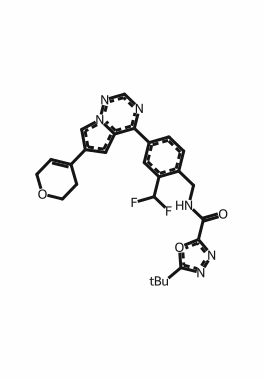 CC(C)(C)c1nnc(C(=O)NCc2ccc(-c3ncnn4cc(C5=CCOCC5)cc34)cc2C(F)F)o1